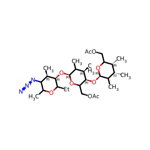 CCC1OC(C)C(N=[N+]=[N-])[C@@H](C)[C@H]1O[C@@H]1OC(COC(C)=O)[C@H](O[C@H]2OC(COC(C)=O)[C@H](C)[C@H](C)C2C)[C@H](C)C1C